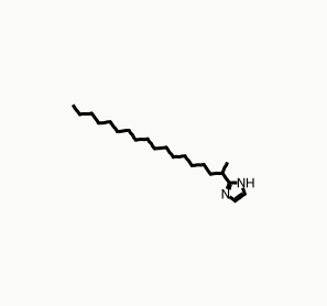 CCCCCCCCCCCCCCCCC(C)c1ncc[nH]1